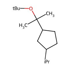 CC(C)C1CCC(C(C)(C)OC(C)(C)C)C1